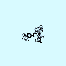 CC(C)CC(CO)Nc1nc(CC(C)c2ccc3c(=O)n(C)cnc3c2)nc(NS(C)(=O)=O)n1